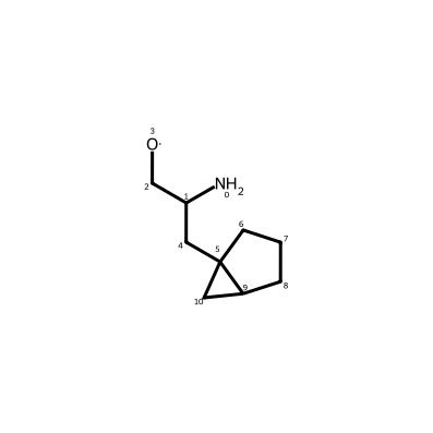 NC(C[O])CC12CCCC1C2